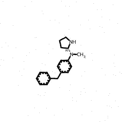 CN(c1ccc(Cc2ccccc2)cc1)[C@@H]1CCCN1